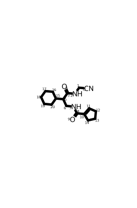 N#CCNC(=O)C(CNC(=O)C1=CCCC1)C1CCCCC1